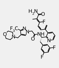 C=C(/C=C\C(F)=C(/C)C(N)=O)c1cccnc1[C@H](Cc1cc(F)cc(F)c1)NC(=O)Cn1cc(CN2CCOCC2)c(C(F)(F)F)n1